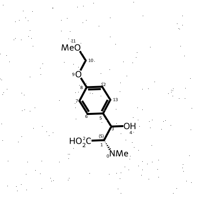 CN[C@H](C(=O)O)C(O)c1ccc(OCOC)cc1